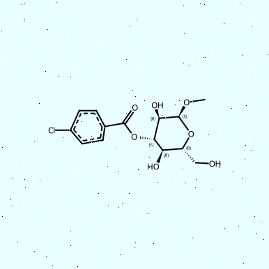 CO[C@H]1O[C@H](CO)[C@@H](O)[C@H](OC(=O)c2ccc(Cl)cc2)[C@H]1O